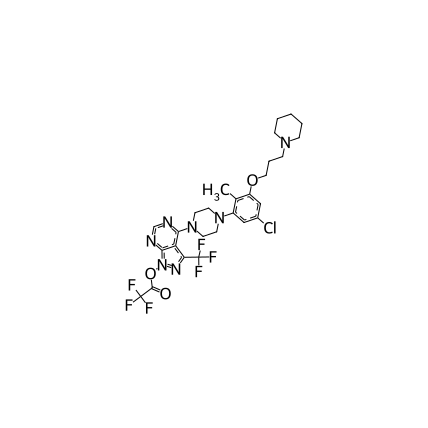 Cc1c(OCCCN2CCCCC2)cc(Cl)cc1N1CCN(c2ncnc3c2c(C(F)(F)F)nn3OC(=O)C(F)(F)F)CC1